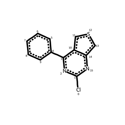 Clc1nc(-c2ccccc2)c2cscc2n1